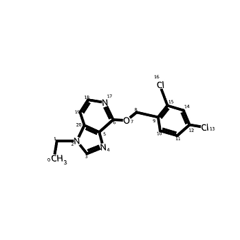 CCn1cnc2c(OCc3ccc(Cl)cc3Cl)nccc21